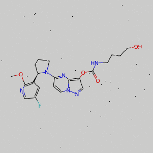 COc1ncc(F)cc1[C@H]1CCCN1c1ccn2ncc(OC(=O)NCCCCO)c2n1